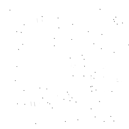 CCS(=O)(=O)NC1CCc2ccc(C)c(=O)n2C1COC1CCC(C)CC1